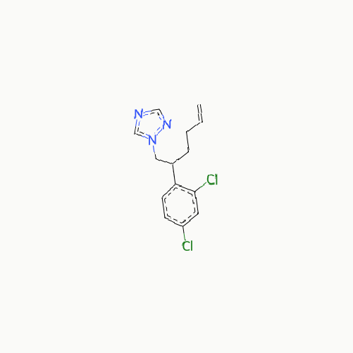 C=CCCC(Cn1cncn1)c1ccc(Cl)cc1Cl